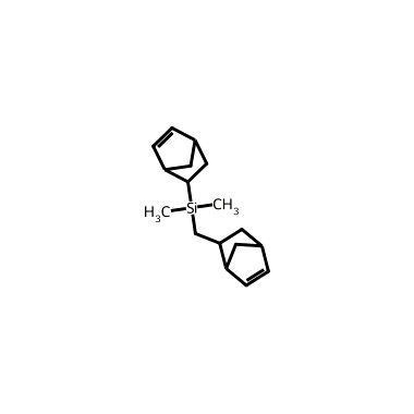 C[Si](C)(CC1CC2C=CC1C2)C1CC2C=CC1C2